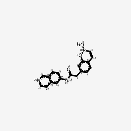 O=C(Cc1ccc2c(c1)OB(O)C=C2)Nc1ccc2cnccc2c1